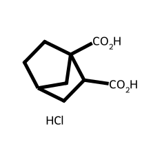 Cl.O=C(O)C1CC2CCC1(C(=O)O)C2